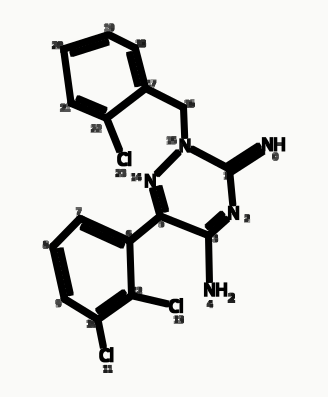 N=c1nc(N)c(-c2cccc(Cl)c2Cl)nn1Cc1ccccc1Cl